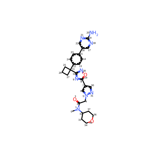 CN(C(=O)Cn1cc(-c2nc(C3(c4ccc(-c5cnc(N)nc5)cc4)CCC3)no2)cn1)C1CCOCC1